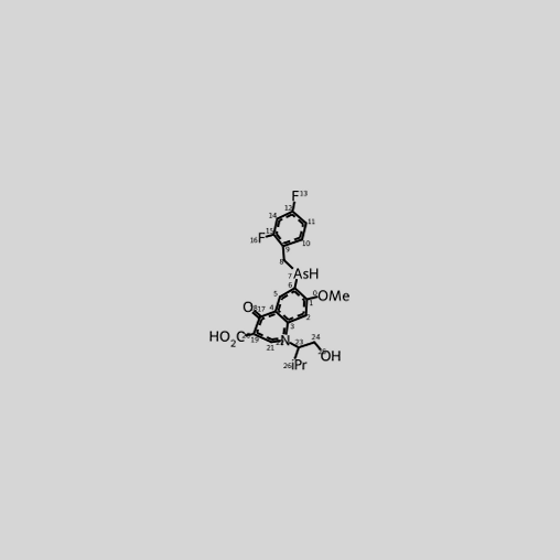 COc1cc2c(cc1[AsH]Cc1ccc(F)cc1F)c(=O)c(C(=O)O)cn2C(CO)C(C)C